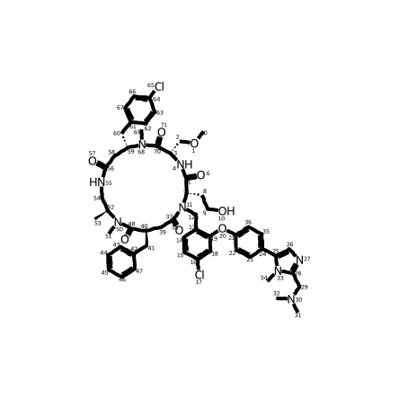 COC[C@@H]1NC(=O)[C@H](CCO)N(Cc2ccc(Cl)cc2Oc2ccc(-c3cnc(CN(C)C)n3C)cc2)C(=O)C[C@@H](Cc2ccccc2)C(=O)N(C)[C@@H](C)CNC(=O)C[C@H](Cc2ccc(Cl)cc2)N(C)C1=O